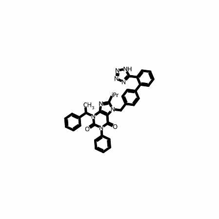 CC(C)c1nc2c(c(=O)n(-c3ccccc3)c(=O)n2C(C)c2ccccc2)n1Cc1ccc(-c2ccccc2-c2nnn[nH]2)cc1